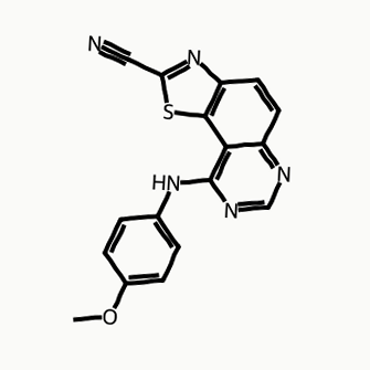 COc1ccc(Nc2ncnc3ccc4nc(C#N)sc4c23)cc1